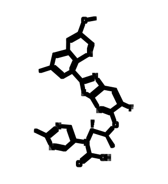 COc1cnc2c(-c3nc4cc(F)c(O[C@@H](C)[C@@H](C)N(C(=O)O)c5cnc(C)nc5)nc4s3)cc(C)cc2c1